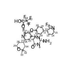 CN1C(=O)C[C@]2(N=C1N)c1cc(-c3cccnc3F)ccc1Oc1c2cc(C2CCOC(C)(C)C2)nc1F.O=C(O)C(F)(F)F